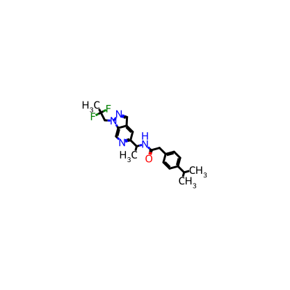 CC(C)c1ccc(CC(=O)NC(C)c2cc3cnn(CC(C)(F)F)c3cn2)cc1